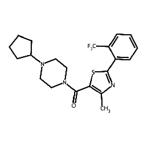 Cc1nc(-c2ccccc2C(F)(F)F)sc1C(=O)N1CCN(C2CCCC2)CC1